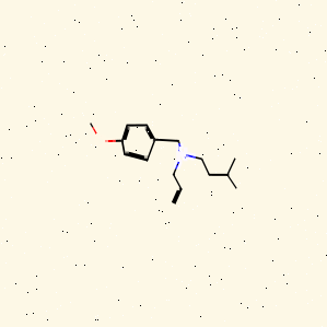 C=CCN(CCC(C)C)Cc1ccc(OC)cc1